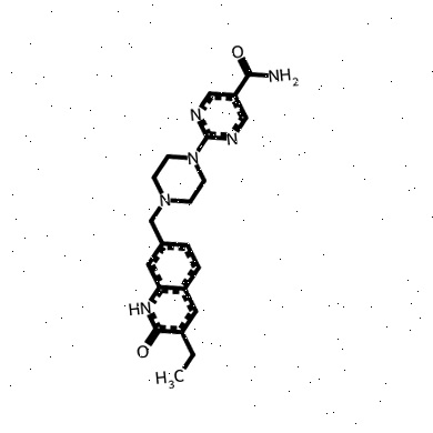 CCc1cc2ccc(CN3CCN(c4ncc(C(N)=O)cn4)CC3)cc2[nH]c1=O